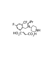 CC(C)CN(Cc1ccc(F)cc1C(F)(F)F)C1CCNCC1.O=C(O)C=CC(=O)O